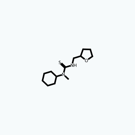 CN(C(=S)NCC1CCCO1)C1CCCCC1